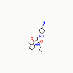 CCCNC(=O)/C(=C\Nc1ccc(C#N)cc1)C(=O)c1ccccc1C